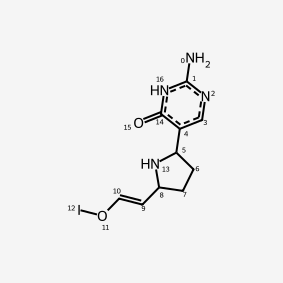 Nc1ncc(C2CCC(C=COI)N2)c(=O)[nH]1